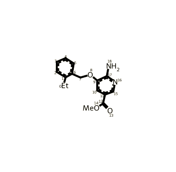 CCc1ccccc1COc1cc(C(=O)OC)cnc1N